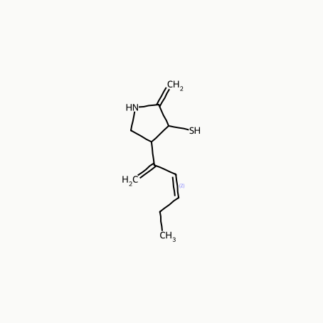 C=C1NCC(C(=C)/C=C\CC)C1S